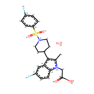 Cc1c(C2CCN(S(=O)(=O)c3ccc(F)cc3)CC2)c2cc(F)ccc2n1CC(=O)O.O